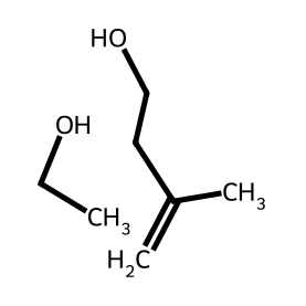 C=C(C)CCO.CCO